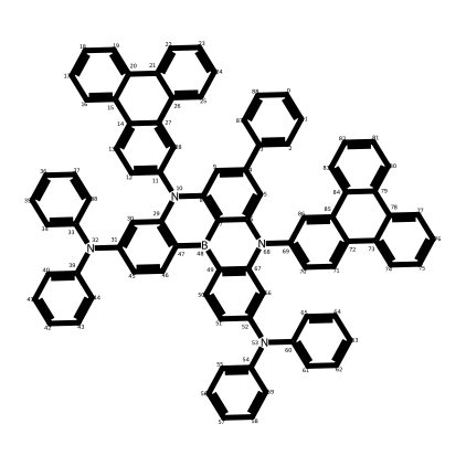 c1ccc(-c2cc3c4c(c2)N(c2ccc5c6ccccc6c6ccccc6c5c2)c2cc(N(c5ccccc5)c5ccccc5)ccc2B4c2ccc(N(c4ccccc4)c4ccccc4)cc2N3c2ccc3c4ccccc4c4ccccc4c3c2)cc1